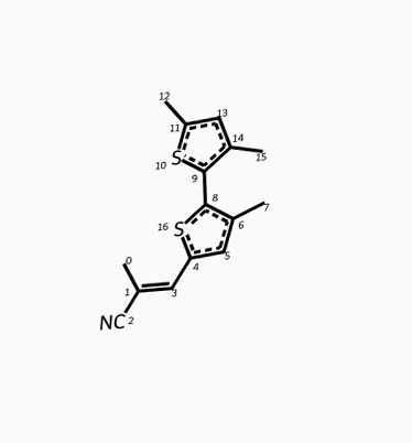 CC(C#N)=Cc1cc(C)c(-c2sc(C)cc2C)s1